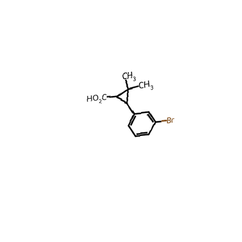 CC1(C)C(C(=O)O)C1c1cccc(Br)c1